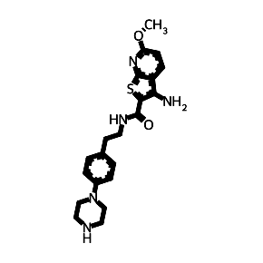 COc1ccc2c(N)c(C(=O)NCCc3ccc(N4CCNCC4)cc3)sc2n1